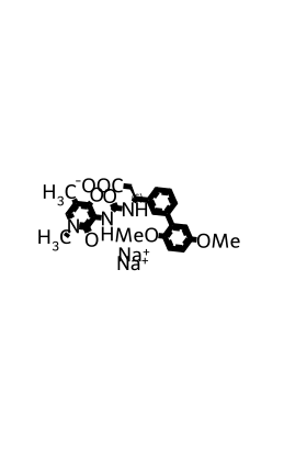 COc1ccc(OC)c(-c2cccc([C@H](CC(=O)[O-])NC(=O)Nc3c([O-])c(C)cn(C)c3=O)c2)c1.[Na+].[Na+]